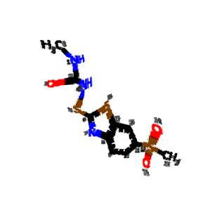 CNC(=O)NSc1nc2ccc(S(C)(=O)=O)cc2s1